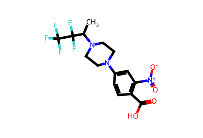 CC(N1CCN(c2ccc(C(=O)O)c([N+](=O)[O-])c2)CC1)C(F)(F)C(F)(F)F